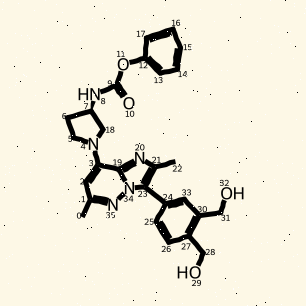 Cc1cc(N2CC[C@@H](NC(=O)Oc3ccccc3)C2)c2nc(C)c(-c3ccc(CO)c(CO)c3)n2n1